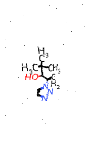 C=C(C(O)C(C)(C)C)n1ccnn1